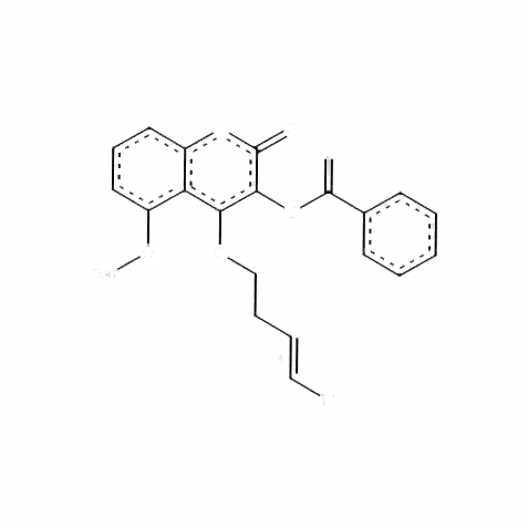 CC/C=C/CCOc1c(OC(=O)c2ccccc2)c(=O)oc2cccc(OC(C)(C)C)c12